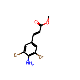 COC(=O)C=Cc1cc(Br)c(N)c(Br)c1